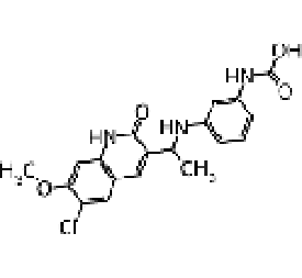 COc1cc2[nH]c(=O)c(C(C)Nc3cccc(NC(=O)O)c3)cc2cc1Cl